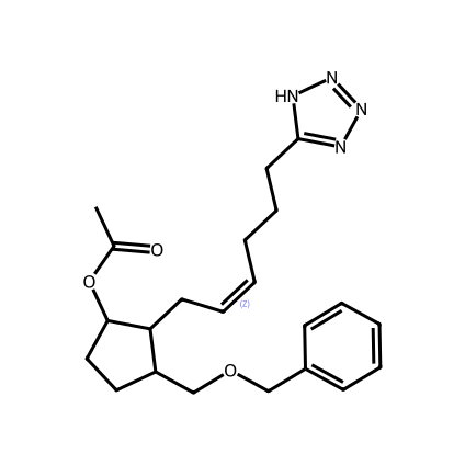 CC(=O)OC1CCC(COCc2ccccc2)C1C/C=C\CCCc1nnn[nH]1